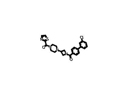 O=C(c1ccc(-c2cccc(Cl)c2)cc1)N1CC(N2CCN(C(=O)c3nccs3)CC2)C1